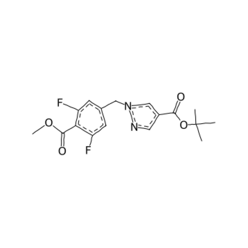 COC(=O)c1c(F)cc(Cn2cc(C(=O)OC(C)(C)C)cn2)cc1F